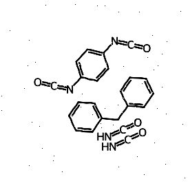 N=C=O.N=C=O.O=C=Nc1ccc(N=C=O)cc1.c1ccc(Cc2ccccc2)cc1